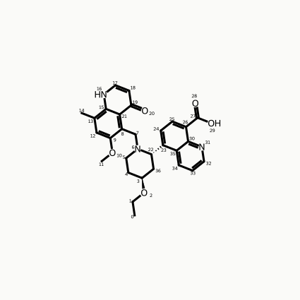 CCO[C@H]1CCN(Cc2c(OC)cc(C)c3[nH]ccc(=O)c23)[C@H](c2ccc(C(=O)O)c3ncccc23)C1